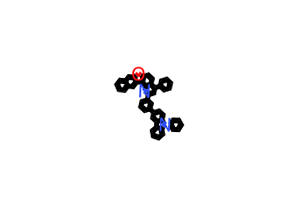 c1ccc(-c2cc(-c3cccc(-c4ccc5c(c4)c4ccccc4n5-c4ccccc4)c3)nc3c2ccc2oc4cc5ccccc5cc4c23)cc1